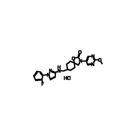 COc1ncc(N2CC3(CCC(CNc4ccn(-c5ccccc5F)n4)CC3)OC2=O)cn1.Cl